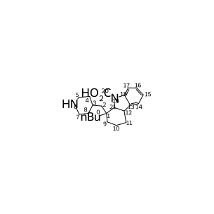 CCCCC1(CC2CCNCC2)CCCC2c3ccccc3N(C(=O)O)C21